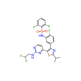 CC(C)c1nc(-c2ccc(F)c(NS(=O)(=O)c3c(F)cccc3F)c2)c(-c2ccnc(NCC(F)F)n2)s1